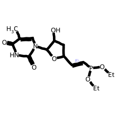 CCOP(/C=C/C1CC(O)C(n2cc(C)c(=O)[nH]c2=O)O1)OCC